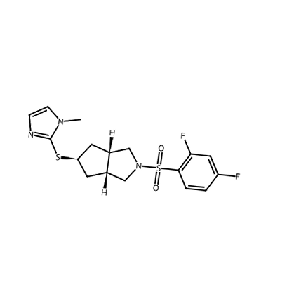 Cn1ccnc1S[C@H]1C[C@@H]2CN(S(=O)(=O)c3ccc(F)cc3F)C[C@@H]2C1